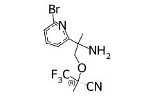 CC(N)(CO[C@](C)(C#N)C(F)(F)F)c1cccc(Br)n1